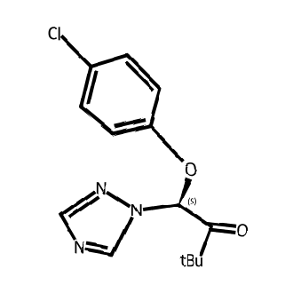 CC(C)(C)C(=O)[C@H](Oc1ccc(Cl)cc1)n1cncn1